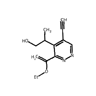 C#Cc1cnnc(C(=C)OCC)c1C(C)CO